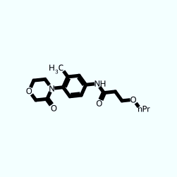 CCCOCCC(=O)Nc1ccc(N2CCOCC2=O)c(C)c1